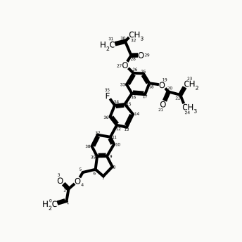 C=CC(=O)OCC1CCc2cc(-c3ccc(-c4cc(OC(=O)C(=C)C)cc(OC(=O)C(=C)C)c4)c(F)c3)ccc21